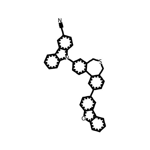 N#Cc1ccc2c(c1)c1ccccc1n2-c1ccc2c(c1)CSCc1ccc(-c3ccc4oc5ccccc5c4c3)cc1-2